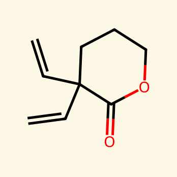 C=CC1(C=C)CCCOC1=O